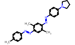 Cc1ccc(/N=N/c2cc(C)c(/N=N/c3ccc(N4CCCC4)cc3)cc2C)cc1